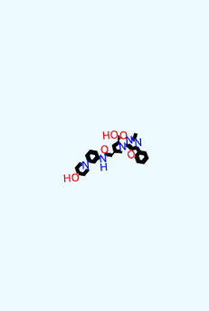 Cc1nc(N2C[C@@H](CC(=O)Nc3cccc(N4CCC(O)CC4)c3)C[C@H]2C(=O)O)c2oc3ccccc3c2n1